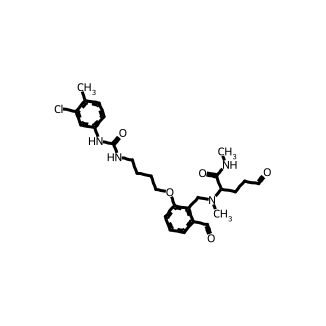 CNC(=O)C(CCC=O)N(C)Cc1c(C=O)cccc1OCCCCNC(=O)Nc1ccc(C)c(Cl)c1